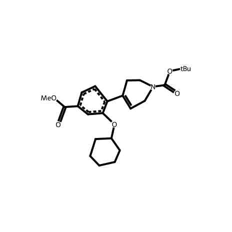 COC(=O)c1ccc(C2=CCN(C(=O)OC(C)(C)C)CC2)c(OC2CCCCC2)c1